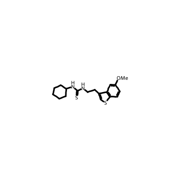 COc1ccc2scc(CCNC(=S)NC3CCCCC3)c2c1